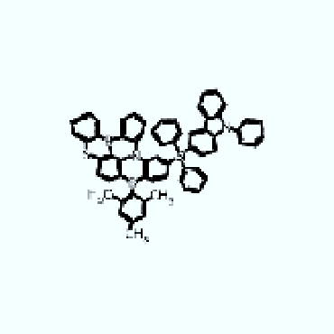 Cc1cc(C)c(B2c3ccc([Si](c4ccccc4)(c4ccccc4)c4ccc5c(c4)c4ccccc4n5-c4ccccc4)cc3N3c4ccccc4B4c5ccccc5Sc5ccc2c3c54)c(C)c1